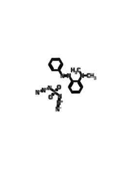 CN(C)c1ccccc1N=Nc1ccccc1.[N-]=[N+]=NS(=O)(=O)N=[N+]=[N-]